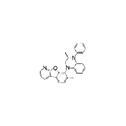 Cc1ccc2c(oc3ncccc32)c1N1C[C@@H](C)N(c2ccccc2)c2ccccc21